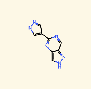 c1n[nH]cc1-c1ncc2n[nH]cc2n1